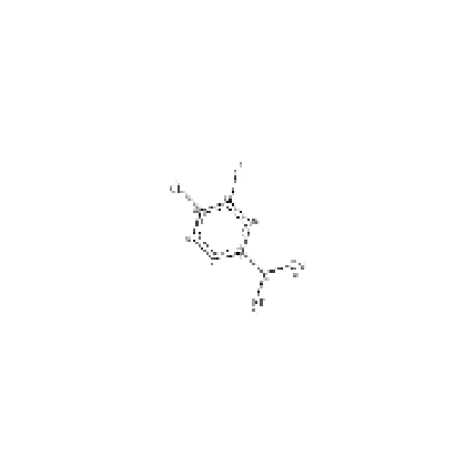 [CH2]CC(C#N)c1ccc(Cl)c(Cl)c1